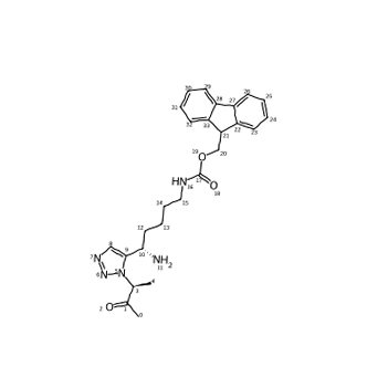 CC(=O)[C@H](C)n1nncc1[C@@H](N)CCCCNC(=O)OCC1c2ccccc2-c2ccccc21